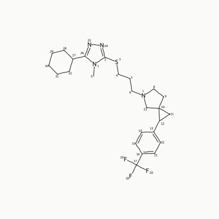 Cn1c(SCCCN2CCC3(CC3c3ccc(C(F)(F)F)cc3)C2)nnc1C1CCCCC1